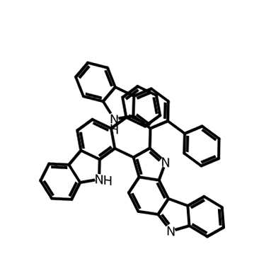 c1ccc(-c2ccc3c([nH]c4ccccc43)c2C2=Nc3c4c(ccc3=C2c2c(-c3ccccc3)ccc3c2[nH]c2ccccc23)=Nc2ccccc2-4)cc1